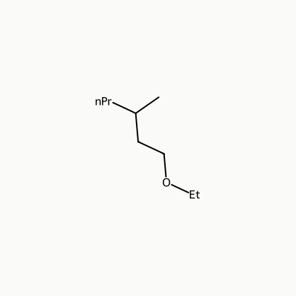 [CH2]COCCC(C)CCC